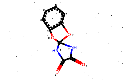 O=C1NC2(NC1=O)Oc1ccccc1O2